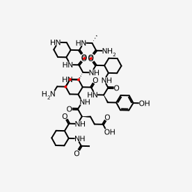 CC(=O)NC1CCCCC1C(=O)N[C@H](CCC(=O)O)C(=O)NC1CCNCC1C(=O)N[C@H](Cc1ccc(O)cc1)C(=O)NC1CCCCC1C(=O)N[C@H](CCCCN)C(=O)NC1CCNCC1C(=O)N[C@H](C)C(N)=O